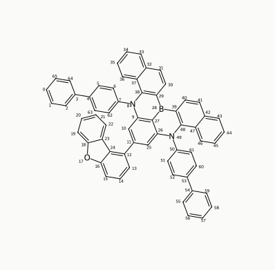 c1ccc(-c2ccc(N3c4cc(-c5cccc6oc7ccccc7c56)cc5c4B(c4ccc6ccccc6c43)c3ccc4ccccc4c3N5c3ccc(-c4ccccc4)cc3)cc2)cc1